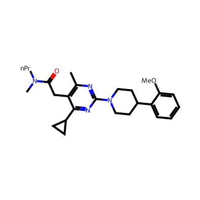 CCCN(C)C(=O)Cc1c(C)nc(N2CCC(c3ccccc3OC)CC2)nc1C1CC1